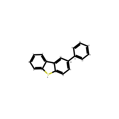 [c]1ccc2c(c1)sc1ccc(-c3ccccc3)cc12